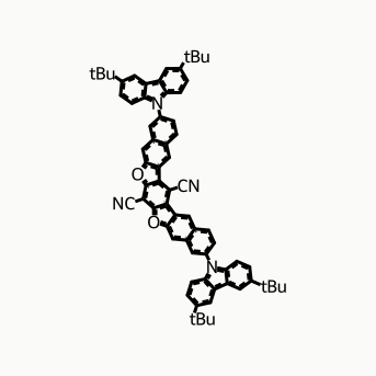 CC(C)(C)c1ccc2c(c1)c1cc(C(C)(C)C)ccc1n2-c1ccc2cc3c(cc2c1)oc1c(C#N)c2oc4cc5cc(-n6c7ccc(C(C)(C)C)cc7c7cc(C(C)(C)C)ccc76)ccc5cc4c2c(C#N)c13